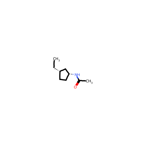 CC[C@H]1CC[C@@H](NC(C)=O)C1